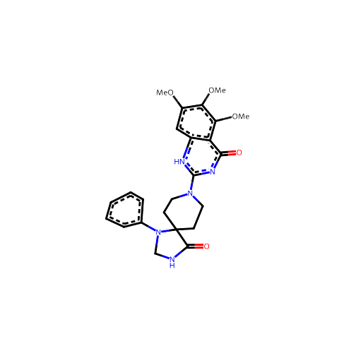 COc1cc2[nH]c(N3CCC4(CC3)C(=O)NCN4c3ccccc3)nc(=O)c2c(OC)c1OC